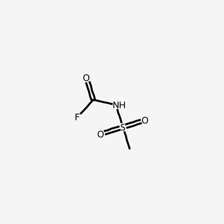 CS(=O)(=O)NC(=O)F